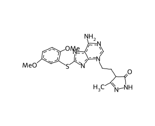 COc1ccc(OC)c(Sc2nc3c(N)ncn(CCC4C(=O)NN=C4C)c-3n2)c1